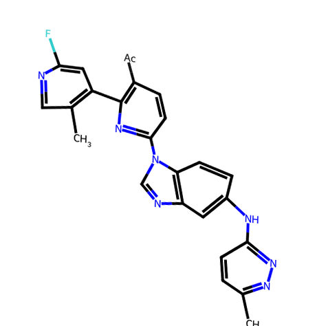 CC(=O)c1ccc(-n2cnc3cc(Nc4ccc(C)nn4)ccc32)nc1-c1cc(F)ncc1C